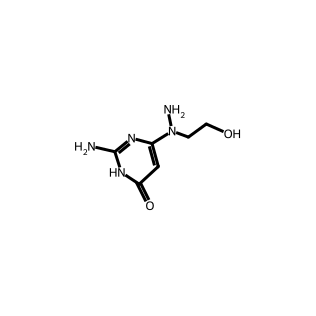 Nc1nc(N(N)CCO)cc(=O)[nH]1